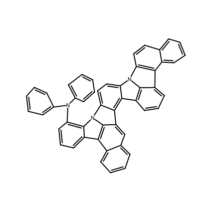 c1ccc(N(c2ccccc2)c2cccc3c4c5ccccc5cc5c6c7c8cccc9c%10c%11ccccc%11ccc%10n(c7ccc6n(c23)c54)c98)cc1